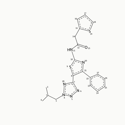 CC(C)Cn1nnc(-c2sc(NC(=O)Cc3cccs3)nc2-c2ccccc2)n1